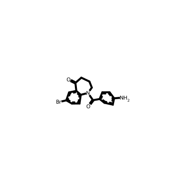 Nc1ccc(C(=O)N2CCCC(=O)c3cc(Br)ccc32)cc1